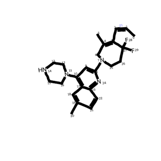 C/C=C\C1=C(C)CN(c2cc(N3CCNCC3)c3cc(C)ccc3n2)CCC1(F)F